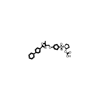 Cc1oc(-c2ccc(-c3ccccc3)cc2)nc1COc1ccc(S(=O)(=O)N2CCC[C@H]2OC(=O)O)cc1